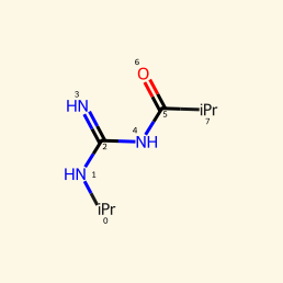 CC(C)NC(=N)NC(=O)C(C)C